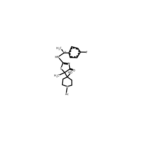 CC(=O)N1CCC(O)(C2(C)SC(N[C@@H](C)c3ccc(F)cc3)=NC2=O)CC1